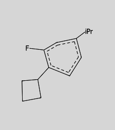 CC(C)c1ccc(C2CCC2)c(F)c1